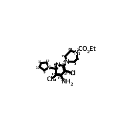 CCOC(=O)N1CCN(c2nc(N3CCCC3)c(Cl)c(N)c2Cl)CC1